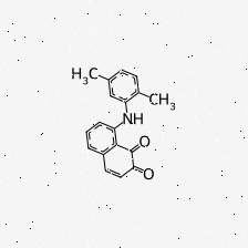 Cc1ccc(C)c(Nc2cccc3c2C(=O)C(=O)C=C3)c1